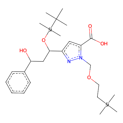 CC(C)(C)[Si](C)(C)OC(CC(O)c1ccccc1)c1cc(C(=O)O)n(COCC[Si](C)(C)C)n1